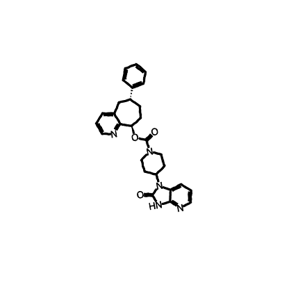 O=C(O[C@@H]1CC[C@@H](c2ccccc2)Cc2cccnc21)N1CCC(n2c(=O)[nH]c3ncccc32)CC1